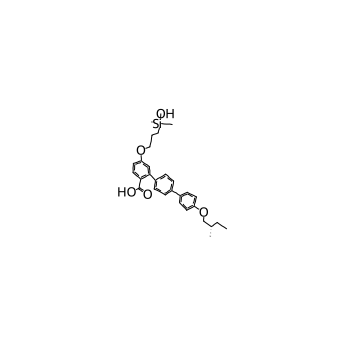 CC[C@H](C)COc1ccc(-c2ccc(-c3cc(OCCC[Si](C)(C)O)ccc3C(=O)O)cc2)cc1